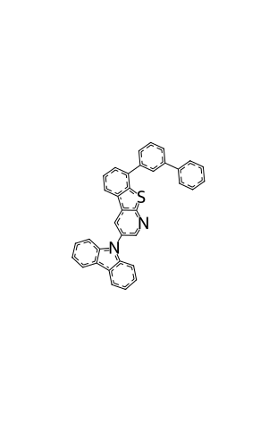 c1ccc(-c2cccc(-c3cccc4c3sc3ncc(-n5c6ccccc6c6ccccc65)cc34)c2)cc1